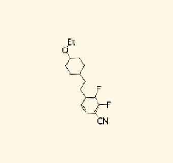 CCOC1CCC(CCc2ccc(C#N)c(F)c2F)CC1